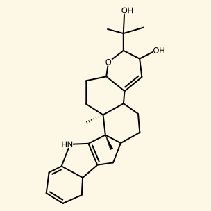 CC(C)(O)C1OC2CC[C@@]3(C)C(CCC4CC5=C(NC6=CC=CCC65)[C@@]43C)C2=CC1O